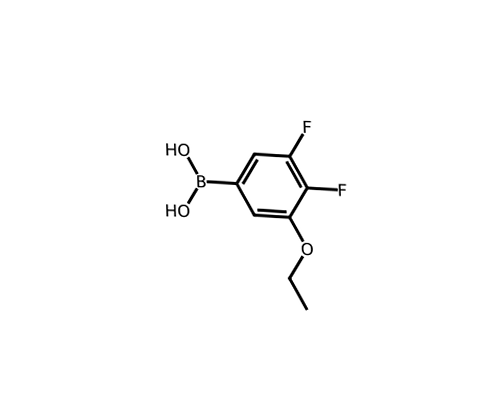 CCOc1cc(B(O)O)cc(F)c1F